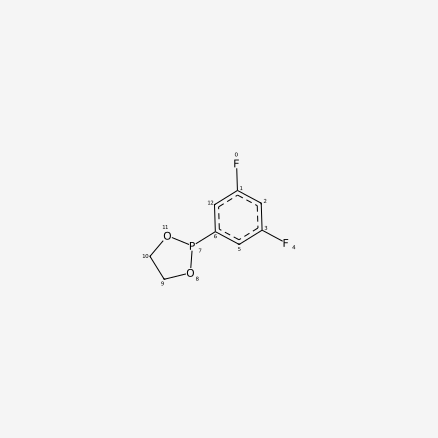 Fc1cc(F)cc(P2OCCO2)c1